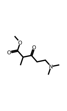 COC(=O)C(C)C(=O)CCN(C)C